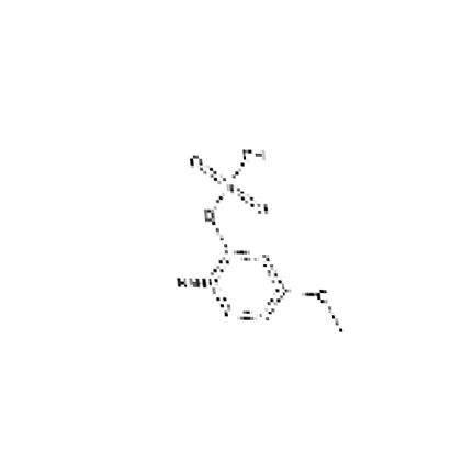 COc1cccc(OS(=O)(=O)O)c1.[NaH]